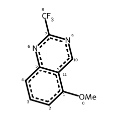 COc1cccc2nc(C(F)(F)F)ncc12